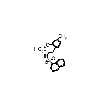 Cc1ccc(C[C@H](NS(=O)(=O)c2cccc3ccccc23)C(=O)O)c(C)c1